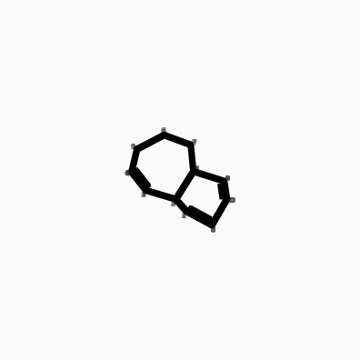 C1=CC2C=CCCCC2C=C1